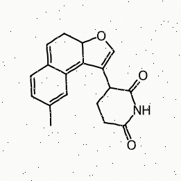 Cc1ccc2c(c1)=C1C(C3CCC(=O)NC3=O)=COC1CC=2